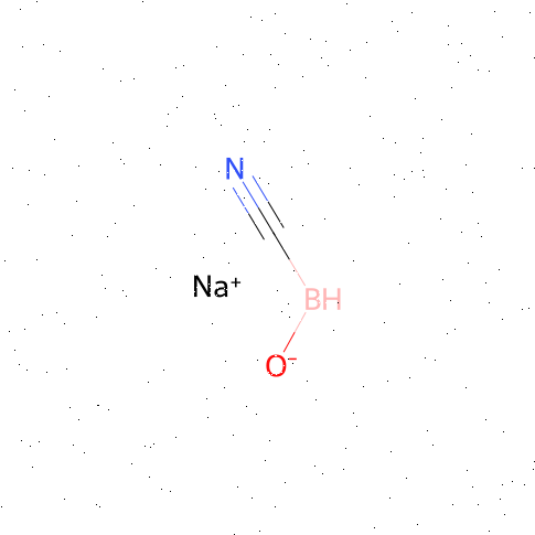 N#CB[O-].[Na+]